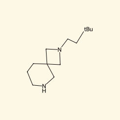 CC(C)(C)CCN1CC2(CCCNC2)C1